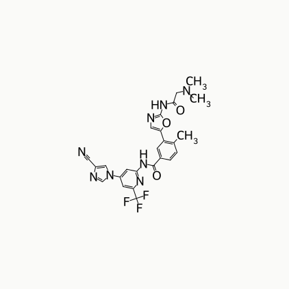 Cc1ccc(C(=O)Nc2cc(-n3cnc(C#N)c3)cc(C(F)(F)F)n2)cc1-c1cnc(NC(=O)CN(C)C)o1